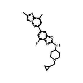 Cc1cn2nc(-c3cc(F)c4nc(NC5CCN(CC6CC6)CC5)oc4c3)cc(C)c2n1